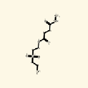 CNC(=O)CCC(=O)OCCS(=O)(=O)CCO